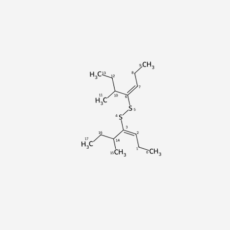 CCC=C(SS/C(=C/CC)C(C)CC)C(C)CC